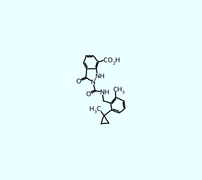 Cc1cccc(C2(C)CC2)c1CNC(=O)n1[nH]c2c(C(=O)O)cccc2c1=O